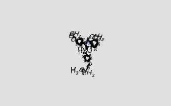 CC/C(=C(/C(=O)Nc1ccc(OCCN(C)C)cc1)c1ccc(OCOC)cc1)c1ccccc1C